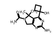 CC1(C)c2c(nc(N)nc2C2(O)CCC2)CN1C(N)=O